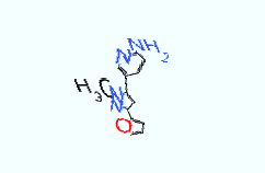 Cn1nc(-c2ccco2)cc1-c1ccc(N)nc1